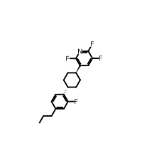 CCCc1ccc([C@H]2CC[C@H](c3cc(F)c(F)nc3F)CC2)c(F)c1